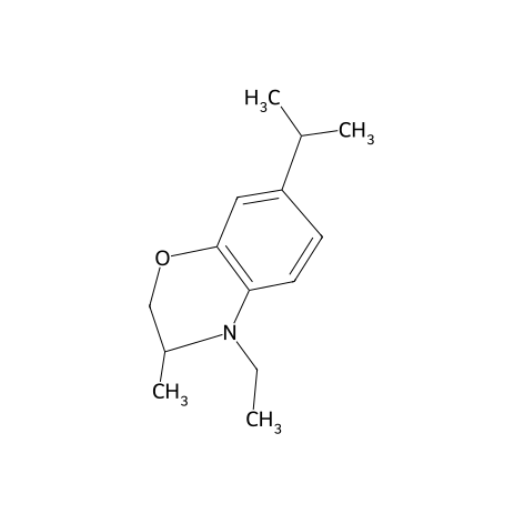 CCN1c2ccc(C(C)C)cc2OCC1C